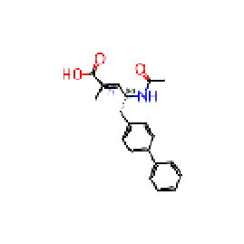 CC(=O)N[C@@H](/C=C(\C)C(=O)O)Cc1ccc(-c2ccccc2)cc1